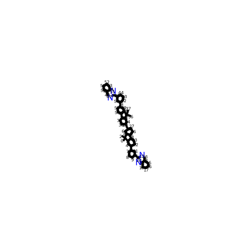 CC1(C)c2cc(-c3cccc(-c4ncc5ccccc5n4)c3)ccc2-c2ccc(-c3ccc4c(c3)C(C)(C)c3cc(-c5cccc(-c6ncc7ccccc7n6)c5)ccc3-4)cc21